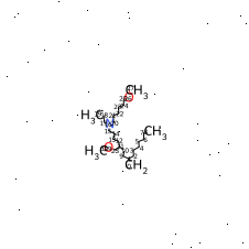 C=C(CCCCCCC)CCC(CCCCN(CCC)CCCCCCOC)COC